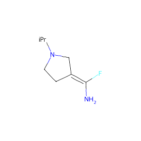 CC(C)N1CC/C(=C(\N)F)C1